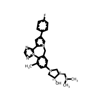 Cc1cc(N2C[C@@H](CN(C)C)[C@H](O)C2)cc2c1-n1ncnc1-c1cc(-c3ccc(F)cc3)cn1C2